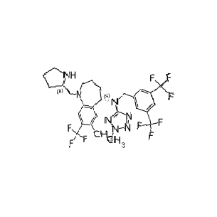 Cc1cc2c(cc1C(F)(F)F)N(C[C@H]1CCCN1)CCC[C@@H]2N(Cc1cc(C(F)(F)F)cc(C(F)(F)F)c1)c1nnn(C)n1